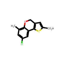 Cc1cc(Cl)cc2c1OCc1cc(C(=O)O)sc1-2